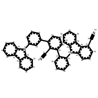 N#Cc1c(-c2cccc(-n3c4ccccc4c4ccccc43)c2)cccc1-c1ccccc1-n1c2ccccc2c2c(C#N)cccc21